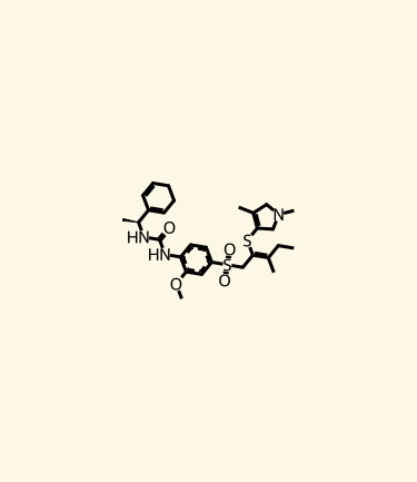 CC/C(C)=C(/CS(=O)(=O)c1ccc(NC(=O)N[C@@H](C)C2=CCCC=C2)c(OC)c1)SC1=C(C)CN(C)C1